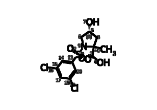 CC1(C(=O)O)C[C@@H](O)CN1S(=O)(=O)c1cc(Cl)cc(Cl)c1